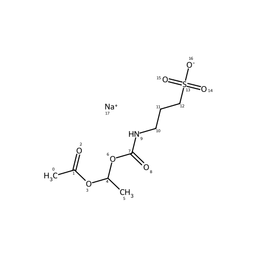 CC(=O)OC(C)OC(=O)NCCCS(=O)(=O)[O-].[Na+]